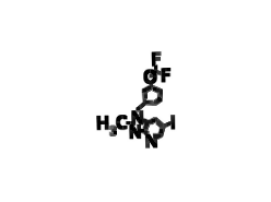 Cc1nc2ncc(I)cc2n1Cc1cccc(OC(F)F)c1